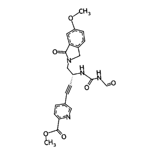 COC(=O)c1ccc(C#C[C@H](CN2Cc3ccc(OC)cc3C2=O)NC(=O)NC=O)cn1